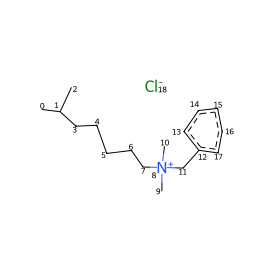 CC(C)CCCCC[N+](C)(C)Cc1ccccc1.[Cl-]